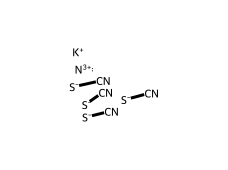 N#C[S-].N#C[S-].N#C[S-].N#C[S-].[K+].[N+3]